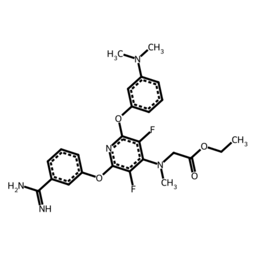 CCOC(=O)CN(C)c1c(F)c(Oc2cccc(C(=N)N)c2)nc(Oc2cccc(N(C)C)c2)c1F